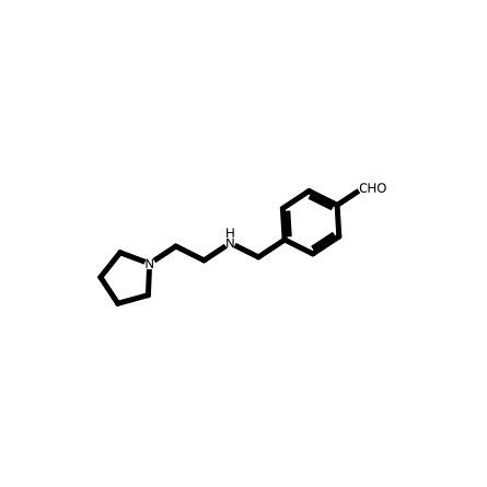 O=Cc1ccc(CNCCN2CCCC2)cc1